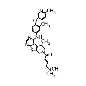 Cc1ccc(Oc2ccc(Nc3ncnc4sc5c(c34)[C@H](C)CN(C(=O)/C=C/CN(C)C)C5)cc2C)cn1